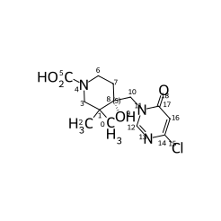 CC1(C)CN(C(=O)O)CC[C@@]1(O)Cn1cnc(Cl)cc1=O